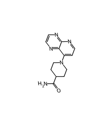 NC(=O)C1CCN(c2ccnc3nccnc23)CC1